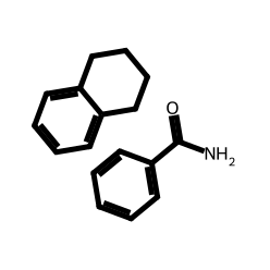 NC(=O)c1ccccc1.c1ccc2c(c1)CCCC2